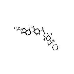 [2H]C([2H])([C@H]1CCCOC1)N1C[C@H]2CC(Nc3ccc(-c4ccc5nn(C)cc5c4C)nn3)C[C@H]2C1